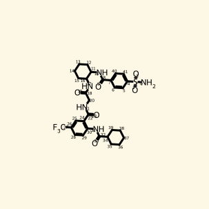 NS(=O)(=O)c1ccc(C(=O)NC2CCCCC2NC(=O)CNC(=O)c2cc(C(F)(F)F)ccc2NC(=O)C2CCCCC2)cc1